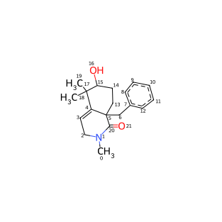 CN1CC=C2C(Cc3ccccc3)(CCC(O)C2(C)C)C1=O